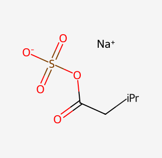 CC(C)CC(=O)OS(=O)(=O)[O-].[Na+]